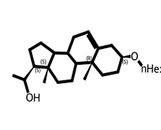 [CH2]CCCCCO[C@H]1CC[C@@]2(C)C(=CCC3C2CC[C@@]2(C)C3CC[C@@H]2C(C)O)C1